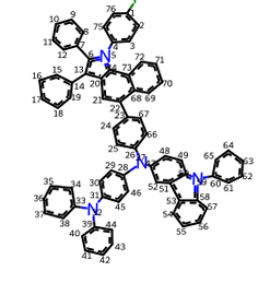 Fc1ccc(-n2c(-c3ccccc3)c(-c3ccccc3)c3cc(-c4ccc(N(c5ccc(N(c6ccccc6)c6ccccc6)cc5)c5ccc6c(c5)c5ccccc5n6-c5ccccc5)cc4)c4ccccc4c32)cc1